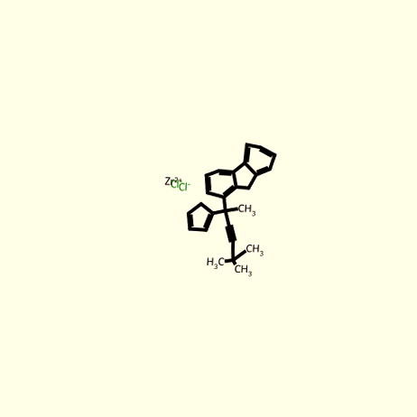 CC(C)(C)C#CC(C)(C1=CC=CC1)c1cccc2c1Cc1ccccc1-2.[Cl-].[Cl-].[Zr+2]